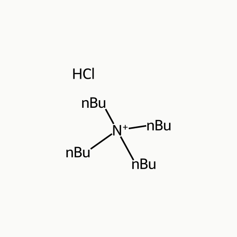 CCCC[N+](CCCC)(CCCC)CCCC.Cl